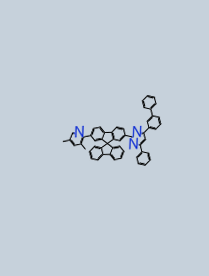 Cc1cnc(-c2ccc3c(c2)C2(c4ccccc4-c4ccccc42)c2cc(-c4nc(-c5ccccc5)cc(-c5cccc(-c6ccccc6)c5)n4)ccc2-3)c(C)c1